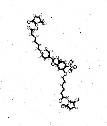 O=C(CCCCCOc1cc2oc(-c3cc[n+](CCCCCC(=O)ON4C(=O)CCC4=O)cc3)nc2cc1S(=O)(=O)[O-])ON1C(=O)CCC1=O